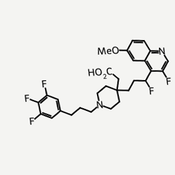 COc1ccc2ncc(F)c(C(F)CCC3(CC(=O)O)CCN(CCCc4cc(F)c(F)c(F)c4)CC3)c2c1